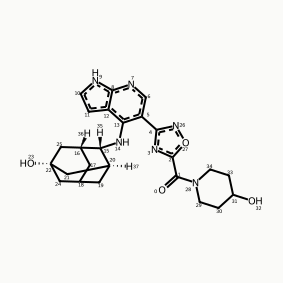 O=C(c1nc(-c2cnc3[nH]ccc3c2N[C@H]2[C@@H]3CC4C[C@H]2C[C@@](O)(C4)C3)no1)N1CCC(O)CC1